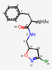 CC(=O)NC(Cc1ccccc1)C(=O)NCC1CC(Br)=NO1